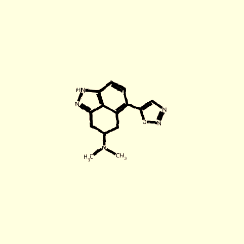 CN(C)C1Cc2n[nH]c3ccc(-c4cnno4)c(c23)C1